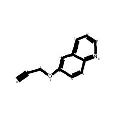 C#CCOc1ccc2ncccc2c1